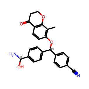 Cc1c(O[C@@H](c2ccc(C#N)cc2)c2ccc([C@H](N)O)cc2)ccc2c1OCCC2=O